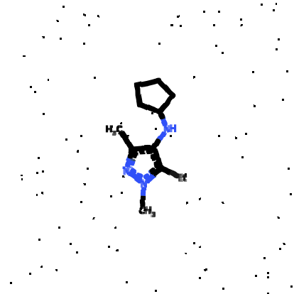 CCc1c(NC2CCCC2)c(C)nn1C